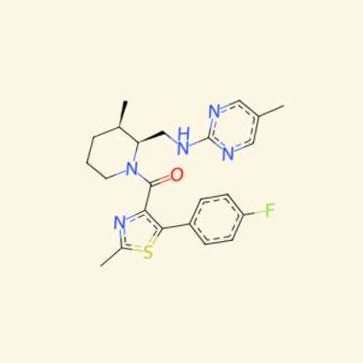 Cc1cnc(NC[C@@H]2[C@H](C)CCCN2C(=O)c2nc(C)sc2-c2ccc(F)cc2)nc1